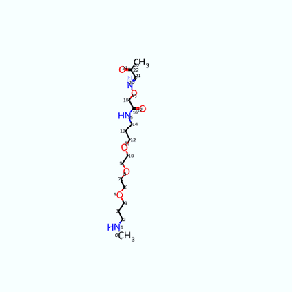 CNCCCOCCOCCOCCCNC(=O)CO/N=C/C(C)=O